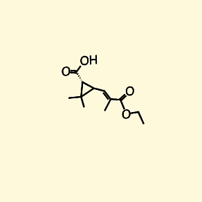 CCOC(=O)/C(C)=C/C1[C@@H](C(=O)O)C1(C)C